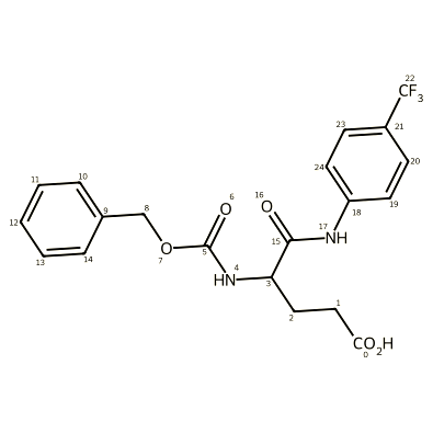 O=C(O)CCC(NC(=O)OCc1ccccc1)C(=O)Nc1ccc(C(F)(F)F)cc1